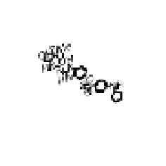 COC(=O)C(CO)NC(=O)Nc1nc2cc(OS(=O)(=O)c3ccc(NC4CCCC4)cc3)ccc2[nH]1